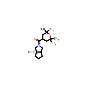 BC1(B)CC(C(=O)N2CC3CCC[C@]3(C)C2)CC(B)(B)O1